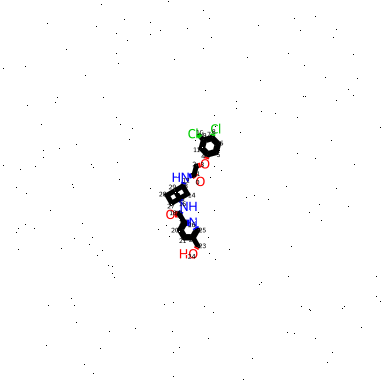 O=C(COc1ccc(Cl)c(Cl)c1)NC1CC2(NC(=O)c3ccc(CO)cn3)CCC12